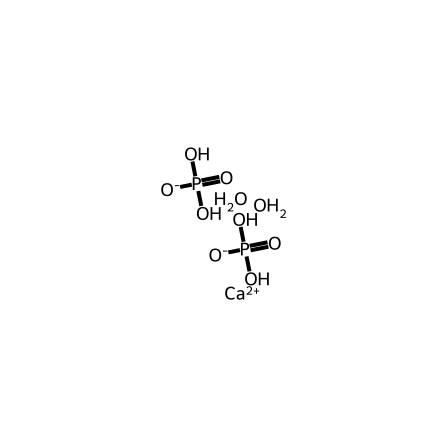 O.O.O=P([O-])(O)O.O=P([O-])(O)O.[Ca+2]